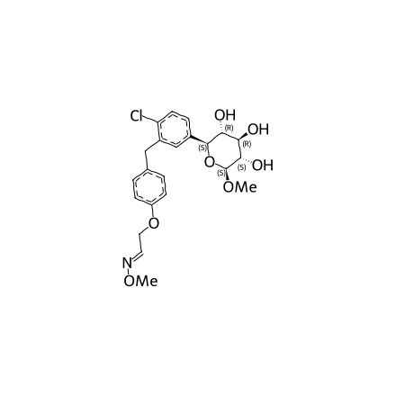 CON=CCOc1ccc(Cc2cc([C@@H]3O[C@H](OC)[C@@H](O)[C@H](O)[C@H]3O)ccc2Cl)cc1